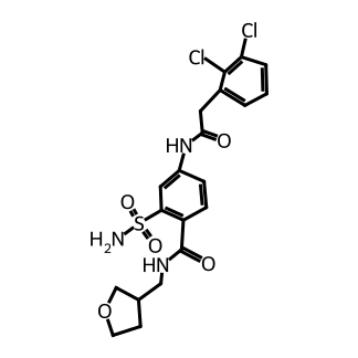 NS(=O)(=O)c1cc(NC(=O)Cc2cccc(Cl)c2Cl)ccc1C(=O)NCC1CCOC1